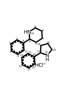 Cl.c1ccc(C2CCCCN2)cc1.c1ccc(C2CCCN2)cc1